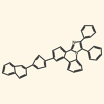 c1ccc(-c2nc3c4ccc(-c5ccc(-c6ccc7ccccc7c6)cc5)cc4c4ccccc4n3c2-c2ccccc2)cc1